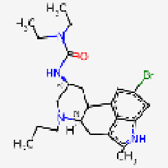 CCCN1C[C@@H](NC(=O)N(CC)CC)CC2c3cc(Br)cc4[nH]c(C)c(c34)C[C@H]21